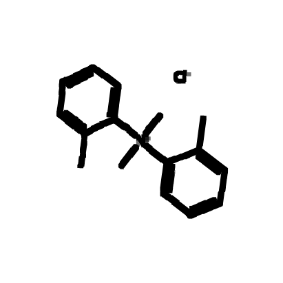 Cc1ccccc1[N+](C)(C)c1ccccc1C.[Cl-]